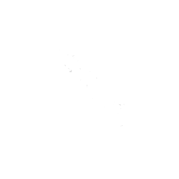 CC/C=C/[C@H]1CO[C@H]([C@H]2CC[C@H](c3ccc(Cl)cc3)CC2)OC1